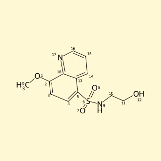 COc1ccc(S(=O)(=O)NCCO)c2cccnc12